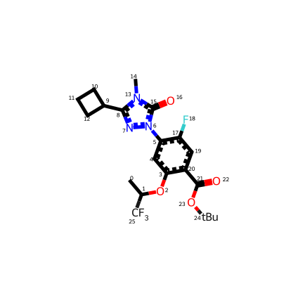 CC(Oc1cc(-n2nc(C3CCC3)n(C)c2=O)c(F)cc1C(=O)OC(C)(C)C)C(F)(F)F